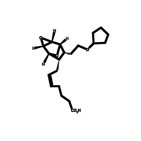 O=C(O)CCC/C=C\C[C@H]1[C@@H](CCOC2CCCC2)[C@@H]2O[C@H]1[C@@H]1O[C@@H]12